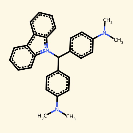 CN(C)c1ccc(C(c2ccc(N(C)C)cc2)n2c3ccccc3c3ccccc32)cc1